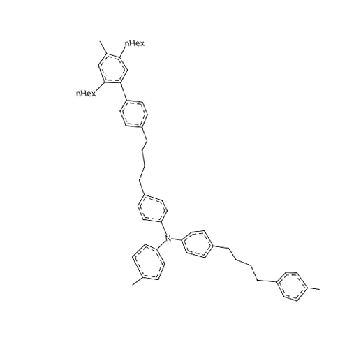 CCCCCCc1cc(-c2ccc(CCCCc3ccc(N(c4ccc(C)cc4)c4ccc(CCCCc5ccc(C)cc5)cc4)cc3)cc2)c(CCCCCC)cc1C